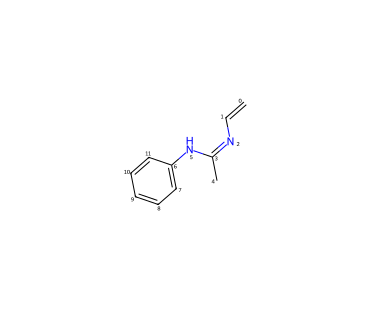 C=C/N=C(/C)Nc1ccccc1